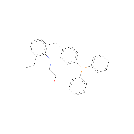 CCc1cccc(Cc2ccc(P(c3ccccc3)c3ccccc3)cc2)c1NCCO